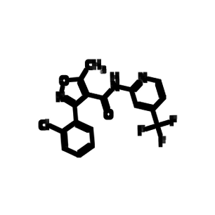 Cc1onc(-c2ccccc2Cl)c1C(=O)Nc1cc(C(F)(F)F)ccn1